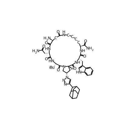 CCC(C)[C@@H]1NC(=O)[C@H](CC(N)=O)NC(=O)[C@@H](N)CC(=O)NCCCC[C@@H](C(N)=O)NC(=O)[C@H](Cc2c[nH]c3ccccc23)NC(=O)[C@@H]2C[C@H](n3cc(C4C5CC6CC(C5)CC4C6)nn3)CN2C1=O